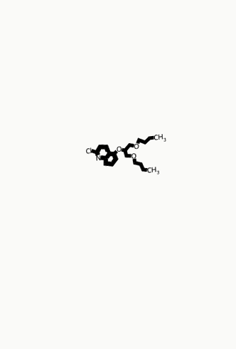 CCCCOCC(COCCCC)Oc1cccc2nc(Cl)ccc12